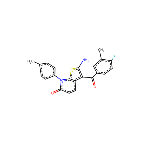 Cc1ccc(-n2c(=O)ccc3c(C(=O)c4ccc(F)c(C)c4)c(N)sc32)cc1